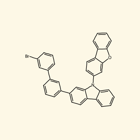 Brc1cccc(-c2cccc(-c3ccc4c5ccccc5n(-c5ccc6c(c5)oc5ccccc56)c4c3)c2)c1